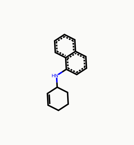 C1=CC(Nc2cccc3ccccc23)CCC1